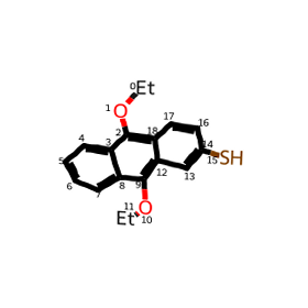 CCOc1c2ccccc2c(OCC)c2cc(S)ccc12